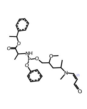 COC(COP(NC(C)C(=O)OC(C)c1ccccc1)Oc1ccccc1)CC(C)N(C)/C=C\C=O